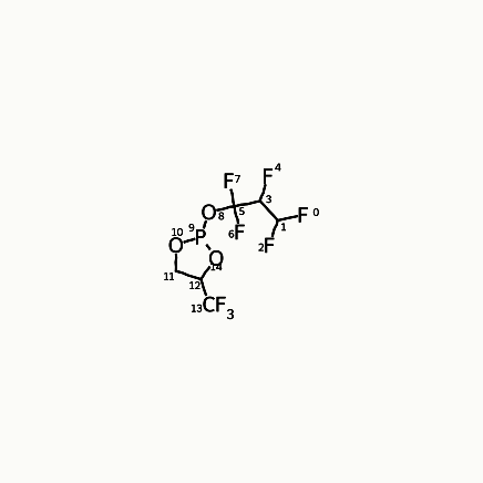 FC(F)C(F)C(F)(F)OP1OCC(C(F)(F)F)O1